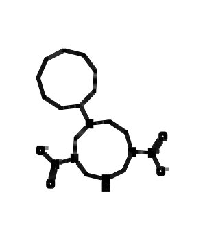 O=[N+]([O-])N1CCN(C2CCCCCCCC2)CN([N+](=O)[O-])CNC1